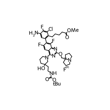 COC(=O)CCCCc1c(-c2c(F)cc3c(N4CCCC(O)(CCNC(=O)OC(C)(C)C)C4)nc(OC[C@@]45CCCN4C[C@H](F)C5)nc3c2F)cc(N)c(F)c1Cl